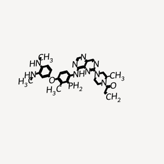 C=CC(=O)N1CCN(c2ncc3ncnc(Nc4ccc(Oc5ccc(NC)c(NC)c5)c(C)c4P)c3n2)C[C@H]1C